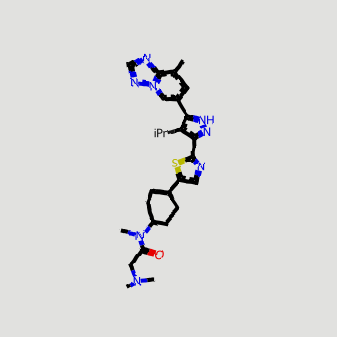 Cc1cc(-c2[nH]nc(-c3ncc(C4CCC(N(C)C(=O)CN(C)C)CC4)s3)c2C(C)C)cn2ncnc12